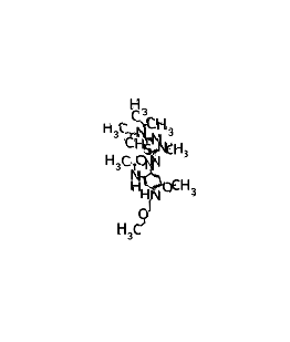 CCOCCNc1cc(NC(C)=O)c(N=Nc2sc(N(C(C)C)C(C)C)n[n+]2C)cc1OC